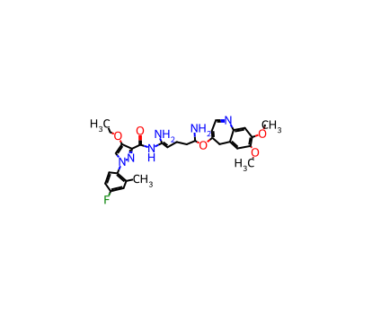 CCOc1cn(-c2ccc(F)cc2C)nc1C(=O)N/C(N)=C/CCC(N)OC1=CC=Nc2cc(OC)c(OC)cc2C1